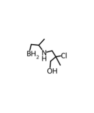 BCC(C)NCC(C)(Cl)CO